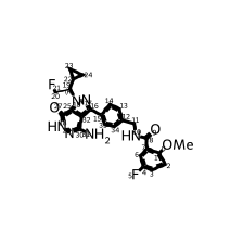 COc1ccc(F)cc1C(=O)NCc1ccc(-c2nn([C@@H](CF)C3CC3)c3c(=O)[nH]nc(N)c23)cc1